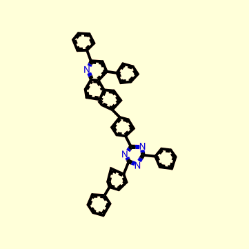 c1ccc(-c2ccc(-c3nc(-c4ccccc4)nc(-c4ccc(-c5ccc6c(ccc7nc(-c8ccccc8)cc(-c8ccccc8)c76)c5)cc4)n3)cc2)cc1